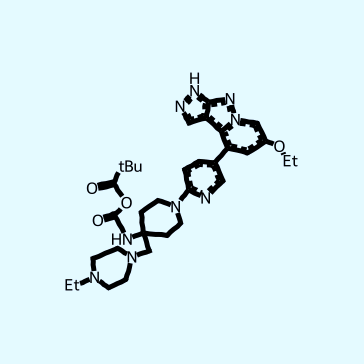 CCOc1cc(-c2ccc(N3CCC(CN4CCN(CC)CC4)(NC(=O)OC(=O)C(C)(C)C)CC3)nc2)c2c3cn[nH]c3nn2c1